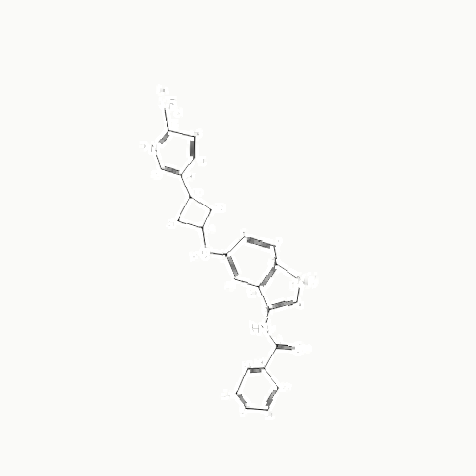 O=C(Nc1c[nH]c2ccc(OC3CC(c4ccc(C(F)(F)F)nc4)C3)cc12)c1ccccc1